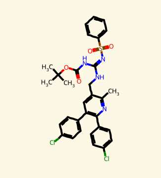 Cc1nc(-c2ccc(Cl)cc2)c(-c2ccc(Cl)cc2)cc1CN/C(=N/S(=O)(=O)c1ccccc1)NC(=O)OC(C)(C)C